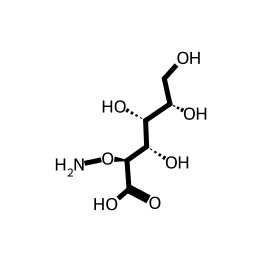 NO[C@H](C(=O)O)[C@@H](O)[C@H](O)[C@@H](O)CO